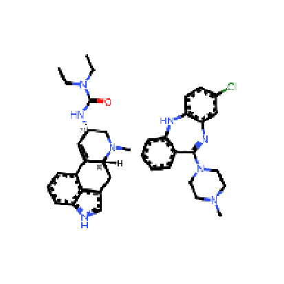 CCN(CC)C(=O)N[C@H]1C=C2c3cccc4[nH]cc(c34)C[C@H]2N(C)C1.CN1CCN(C2=Nc3cc(Cl)ccc3Nc3ccccc32)CC1